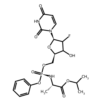 CC(C)OC(=O)[C@H](C)N[P@@](=O)(OC[C@H]1O[C@@H](n2ccc(=O)[nH]c2=O)C(F)C1O)Oc1ccccc1